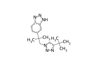 CC(C)(C)c1cn(CC(C)(C)c2ccc3nn[nH]c3c2)nn1